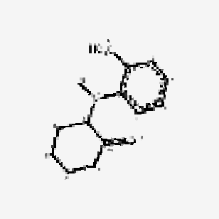 CN(c1ccccc1C(=O)O)C1CCCCC1=O